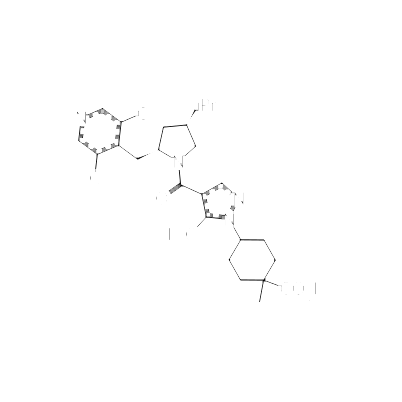 CC(C)[C@@H]1C[C@H](Cc2c(Cl)cncc2Cl)N(C(=O)c2cnn(C3CCC(C)(C(=O)O)CC3)c2C(F)(F)F)C1